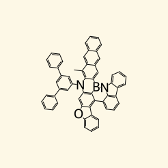 Cc1c2c(cc3cc4ccccc4cc13)B1c3c(cc4oc5ccccc5c4c3-c3cccc4c5ccccc5n1c34)N2c1cc(-c2ccccc2)cc(-c2ccccc2)c1